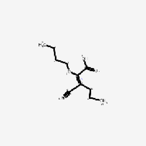 CCCCO/C(C(=O)O)=C(\C#N)CCC